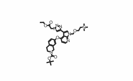 CCOC(=O)Cn1cc(-c2cn(COCC[Si](C)(C)C)c3nccc(Oc4ccc5c(c4)CN(C(=O)OC(C)(C)C)CC5)c23)nn1